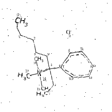 CCCCCC(CC)(c1ccccc1)[N+](C)(C)C.[Cl-]